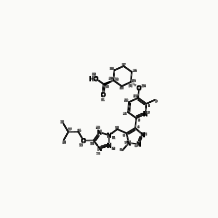 Cc1nc(-c2nnn(C)c2Cn2nnc(OCC(C)C)n2)ccc1O[C@H]1CCC[C@H](C(=O)O)C1